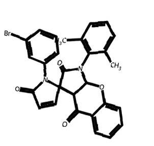 Cc1cccc(C)c1N1C(=O)C2(C=CC(=O)N2c2cccc(Br)c2)C2C(=O)c3ccccc3OC21